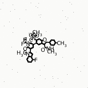 CNC(=O)c1c(-c2ccc(C)cc2)oc2cc(N(C)S(C)(=O)=O)c(-c3cc(-c4cc5c(F)cccc5n4C)c(=O)n(C(F)F)c3)cc12